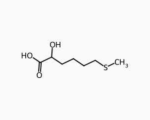 CSCCCCC(O)C(=O)O